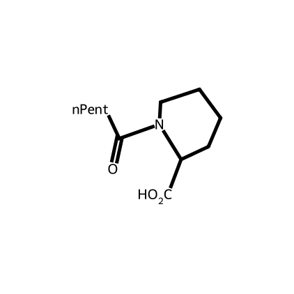 CCCCCC(=O)N1CCCCC1C(=O)O